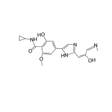 C/N=C\C(O)=C/c1ncc(-c2cc(O)c(C(=O)NC3CC3)c(OC)c2)[nH]1